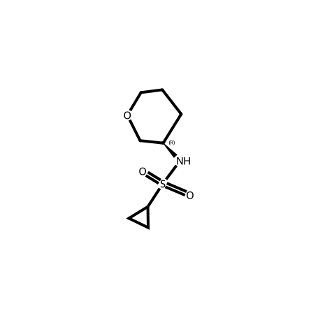 O=S(=O)(N[C@@H]1CCCOC1)C1CC1